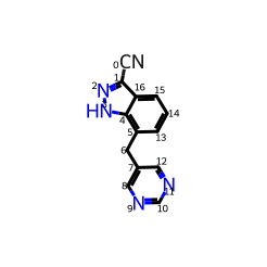 N#Cc1n[nH]c2c(Cc3cncnc3)cccc12